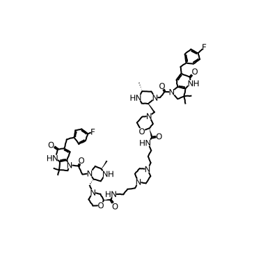 C[C@@H]1CN(CC(=O)N2CC(C)(C)c3[nH]c(=O)c(Cc4ccc(F)cc4)cc32)[C@@H](CN2CCO[C@H](C(=O)NCCCN3CCN(CCCNC(=O)[C@@H]4CN(C[C@H]5CN[C@H](C)CN5CC(=O)N5CC(C)(C)c6[nH]c(=O)c(Cc7ccc(F)cc7)cc65)CCO4)CC3)C2)CN1